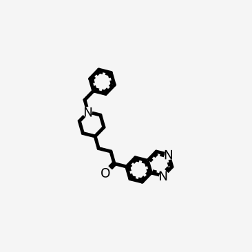 O=C(CCC1CCN(Cc2ccccc2)CC1)c1ccc2ncncc2c1